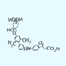 Cc1cc(OCC2(O)CCS(O)(O)CC2)cc(C)c1-c1cccc(CNc2ccc3c(CC(=O)O)coc3c2)c1